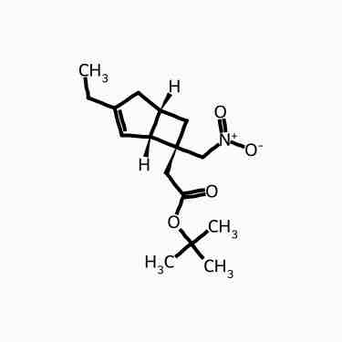 CCC1=C[C@@H]2[C@H](C1)C[C@]2(CC(=O)OC(C)(C)C)C[N+](=O)[O-]